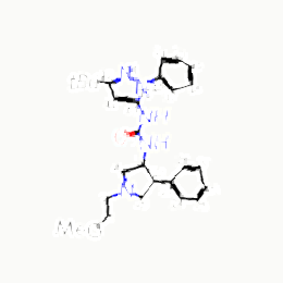 COCCN1CC(NC(=O)Nc2cc(C(C)(C)C)nn2-c2ccccc2)C(c2ccccc2)C1